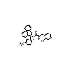 O=C(NCc1ccccc1Cl)NC(Cc1ccccc1)(c1cccc(C(F)(F)F)c1)c1ccccn1